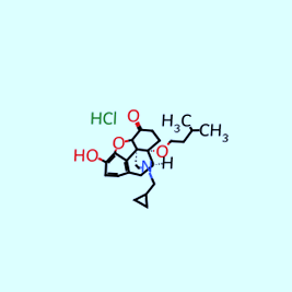 CC(C)CCO[C@@]12CCC(=O)C3Oc4c(O)ccc5c4[C@@]31CCN(CC1CC1)[C@@H]2C5.Cl